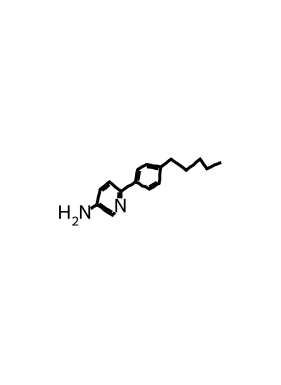 CCCCCc1ccc(-c2ccc(N)cn2)cc1